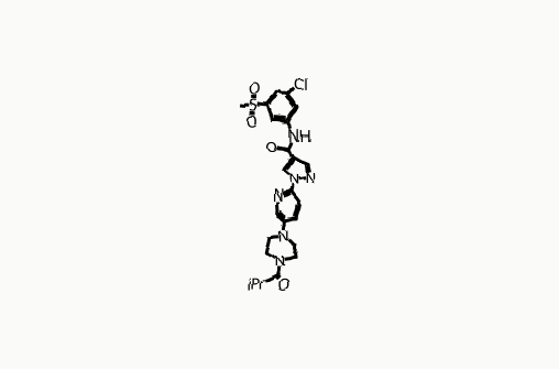 CC(C)C(=O)N1CCN(c2ccc(-n3cc(C(=O)Nc4cc(Cl)cc(S(C)(=O)=O)c4)cn3)nc2)CC1